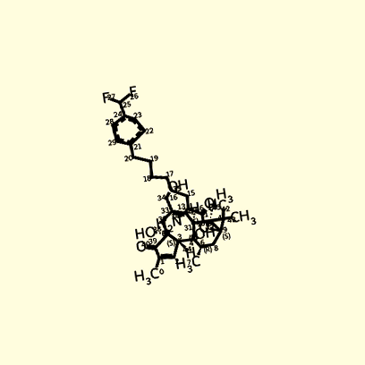 CC1=C[C@H]2[C@@]3(O)[C@H](C)C[C@]4(OC(=O)[C@H](N)CCCCCCc5ccc(C(F)F)cc5)[C@@H]([C@@H]3C=C(CO)C[C@]2(O)C1=O)C4(C)C